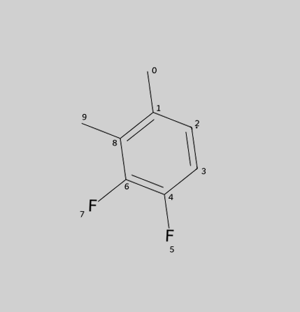 Cc1[c]cc(F)c(F)c1C